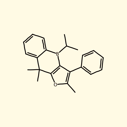 Cc1oc2c(c1-c1ccccc1)B(C(C)C)c1ccccc1C2(C)C